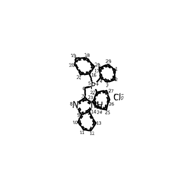 [Cl-].c1ccc([P+](Cc2nc3ccccc3[nH]2)(c2ccccc2)c2ccccc2)cc1